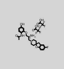 CC(=O)Nc1ccc(O)cc1OC[C@@H](N)CN1CCC2(CC1)Cc1cc(F)ccc1O2.O=C(O)C(F)(F)F.O=C(O)C(F)(F)F